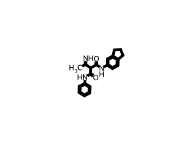 CC(=N)C(C(=O)Nc1ccccc1)C(=O)Nc1ccc2c(c1)CCC2